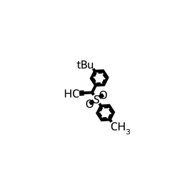 C#CC(c1cccc(C(C)(C)C)c1)S(=O)(=O)c1ccc(C)cc1